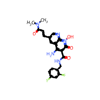 CN(C)C(=O)/C=C/c1cnc2c(c1)c(N)c(C(=O)NCc1ccc(F)cc1F)c(=O)n2O